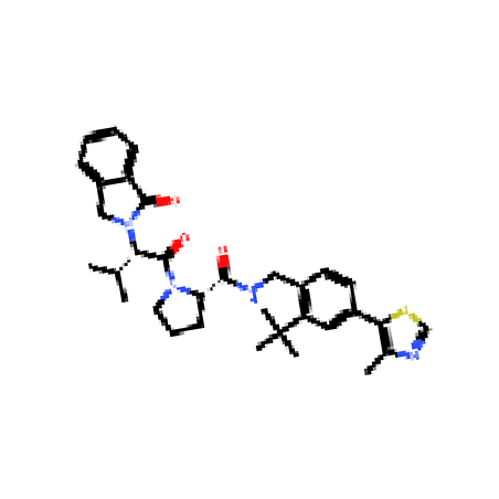 Cc1ncsc1-c1ccc(CNC(=O)[C@@H]2CCCN2C(=O)[C@H](C(C)C)N2Cc3ccccc3C2=O)c(C(C)(C)C)c1